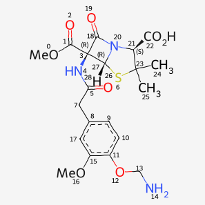 COC(=O)[C@]1(NC(=O)Cc2ccc(OCN)c(OC)c2)C(=O)N2[C@@H](C(=O)O)C(C)(C)S[C@@H]21